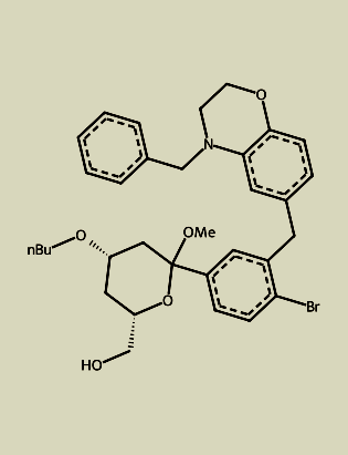 CCCCO[C@H]1C[C@@H](CO)OC(OC)(c2ccc(Br)c(Cc3ccc4c(c3)N(Cc3ccccc3)CCO4)c2)C1